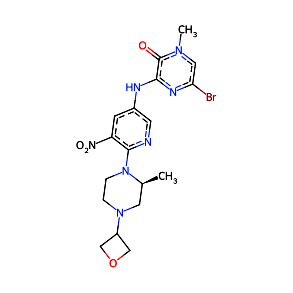 C[C@H]1CN(C2COC2)CCN1c1ncc(Nc2nc(Br)cn(C)c2=O)cc1[N+](=O)[O-]